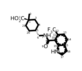 C[C@]1(C(=O)O)CC[C@H](CNC(=O)c2c(C(F)(F)F)ccc3cc[nH]c23)CC1